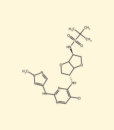 Cn1cc(Nc2ncc(Cl)c(N[C@@H]3COC4C3OC[C@@H]4NS(=O)(=O)C(C)(C)C)n2)cn1